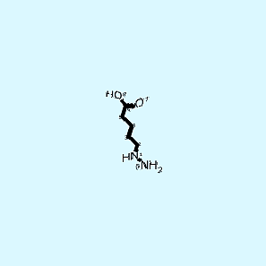 NNCCCCC(=O)O